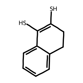 SC1=C(S)c2ccccc2CC1